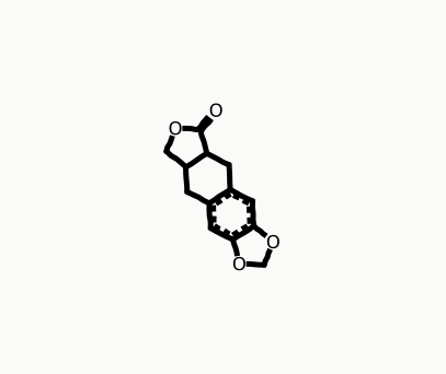 O=C1OCC2Cc3cc4c(cc3CC12)OCO4